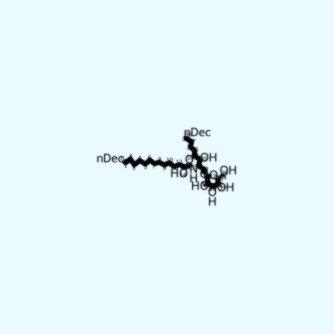 CCCCCCCCCCCCCCCCCCCCCC[C@@H](O)C(=O)NC(CO[C@H]1O[C@H](CO)[C@H](O)[C@H](O)[C@H]1O)C(O)CCCCCCCCCCCCCCC